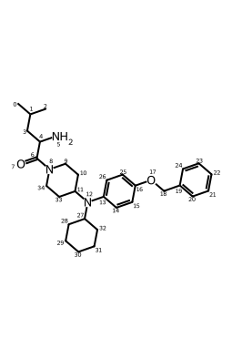 CC(C)CC(N)C(=O)N1CCC(N(c2ccc(OCc3ccccc3)cc2)C2CCCCC2)CC1